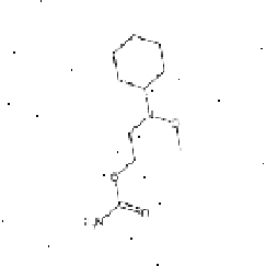 CON(CCOC(N)=O)C1CCCCC1